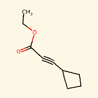 CCOC(=O)C#CC1CCC1